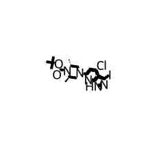 C[C@@H]1CN(c2cc(Cl)c3c(I)n[nH]c3n2)C[C@@H](C)N1C(=O)OC(C)(C)C